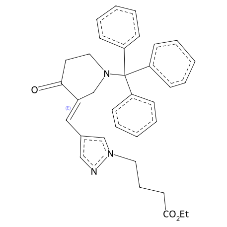 CCOC(=O)CCCn1cc(/C=C2\CN(C(c3ccccc3)(c3ccccc3)c3ccccc3)CCC2=O)cn1